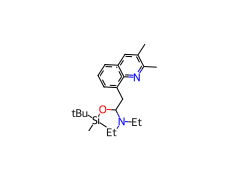 CCN(CC)C(Cc1cccc2cc(C)c(C)nc12)O[Si](C)(C)C(C)(C)C